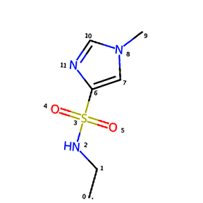 [CH2]CNS(=O)(=O)c1cn(C)cn1